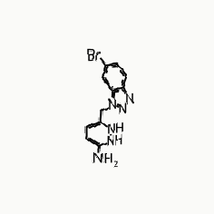 NC1=CC=C(Cn2nnc3ccc(Br)cc32)NN1